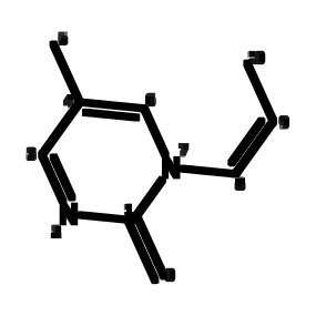 C=C1N=CC(C)=CN1/C=C\C